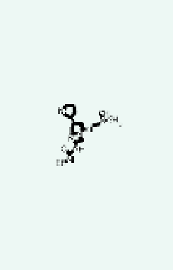 CCNC(=O)Nc1cn2c(OCCN(C)C)cc(-c3cccnc3)cc2n1